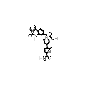 CCn1c(=O)[nH]c2cc(CN3CCC(c4ccc(C(=O)NC)nc4C)CC3)ccc2c1=S.O=CO